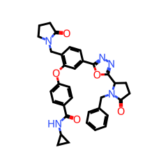 O=C(NC1CC1)c1ccc(Oc2cc(-c3nnc(C4CCC(=O)N4Cc4ccccc4)o3)ccc2CN2CCCC2=O)cc1